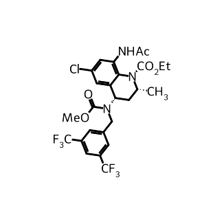 CCOC(=O)N1c2c(NC(C)=O)cc(Cl)cc2[C@@H](N(Cc2cc(C(F)(F)F)cc(C(F)(F)F)c2)C(=O)OC)C[C@H]1C